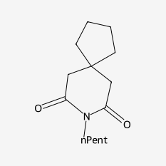 CCCCCN1C(=O)CC2(CCCC2)CC1=O